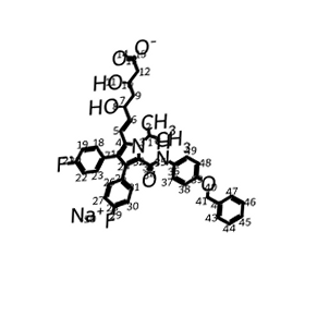 CC(C)n1c(C=C[C@@H](O)C[C@@H](O)CC(=O)[O-])c(-c2ccc(F)cc2)c(-c2ccc(F)cc2)c1C(=O)Nc1ccc(OCc2ccccc2)cc1.[Na+]